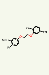 COc1cc(OCCOc2cc(C#N)ccc2C(C)C)ccc1C(C)C